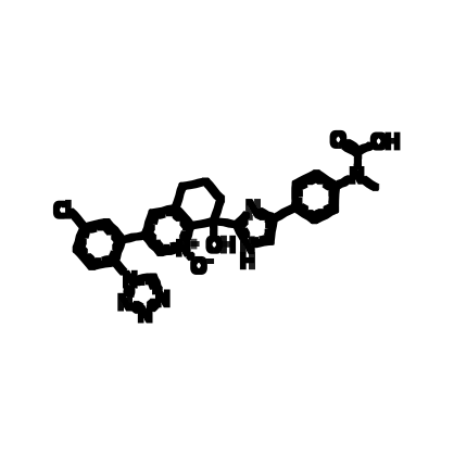 CN(C(=O)O)c1ccc(-c2c[nH]c(C3(O)CCCc4cc(-c5cc(Cl)ccc5-n5cnnn5)c[n+]([O-])c43)n2)cc1